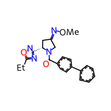 CCc1nc([C@@H]2CC(=NOC)CN2C(=O)c2ccc(-c3ccccc3)cc2)no1